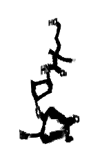 Cn1cc(Br)c(O[C@H]2CC[C@H](NC(=O)C(C)(C)CCCO)CC2)cc1=O